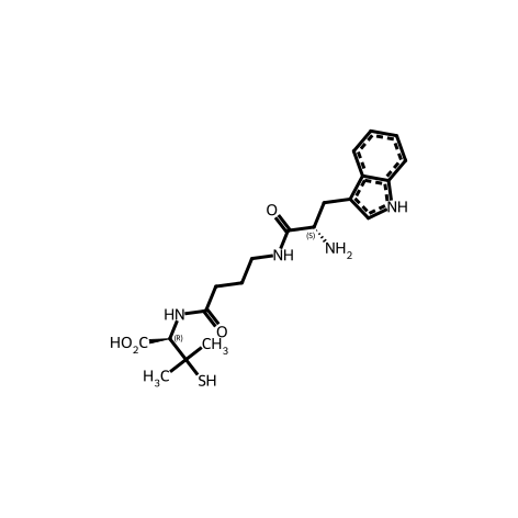 CC(C)(S)[C@H](NC(=O)CCCNC(=O)[C@@H](N)Cc1c[nH]c2ccccc12)C(=O)O